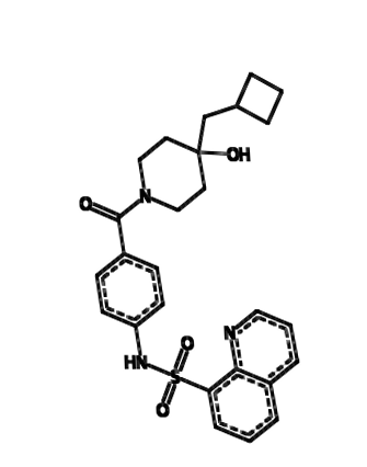 O=C(c1ccc(NS(=O)(=O)c2cccc3cccnc23)cc1)N1CCC(O)(CC2CCC2)CC1